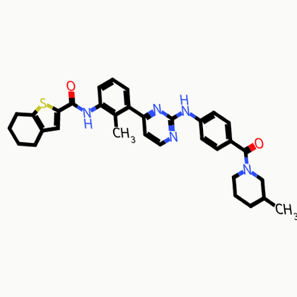 Cc1c(NC(=O)c2cc3c(s2)CCCC3)cccc1-c1ccnc(Nc2ccc(C(=O)N3CCCC(C)C3)cc2)n1